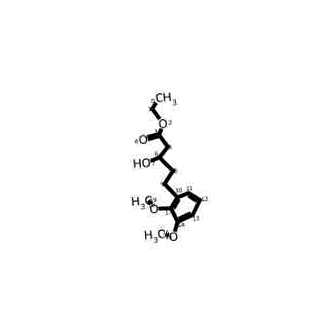 CCOC(=O)CC(O)CCc1cccc(OC)c1OC